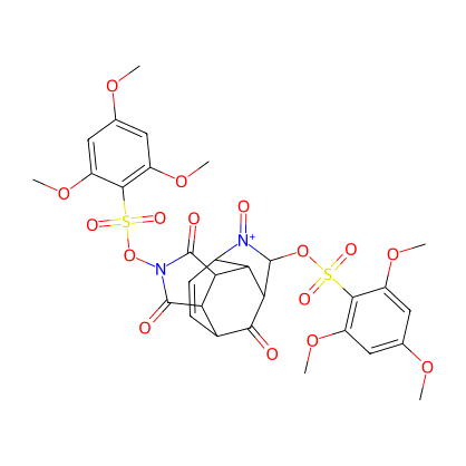 COc1cc(OC)c(S(=O)(=O)OC2C3C(=O)C4C=CC(C3C3C(=O)N(OS(=O)(=O)c5c(OC)cc(OC)cc5OC)C(=O)C43)[N+]2=O)c(OC)c1